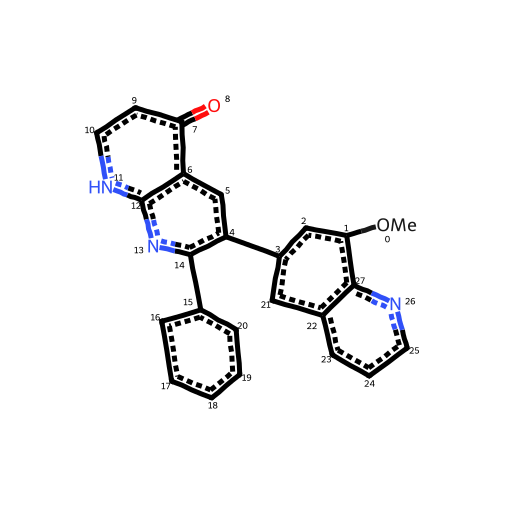 COc1cc(-c2cc3c(=O)cc[nH]c3nc2-c2ccccc2)cc2cccnc12